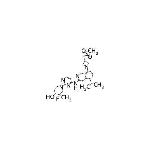 CC(C)c1ccc(N2CC(CS(C)(=O)=O)C2)c2cnc(Nc3ccnc(N4CC[C@@H](O)[C@](C)(F)C4)n3)cc12